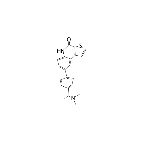 CC(c1ccc(-c2ccc3[nH]c(=O)c4sccc4c3c2)cc1)N(C)C